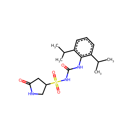 CC(C)c1cccc(C(C)C)c1NC(=O)NS(=O)(=O)C1CNC(=O)C1